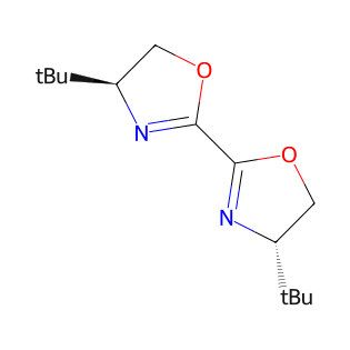 CC(C)(C)[C@H]1COC(C2=N[C@@H](C(C)(C)C)CO2)=N1